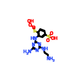 NCCNc1nc(N)nc(Nc2cc(S(=O)(=O)O)ccc2SOOO)n1